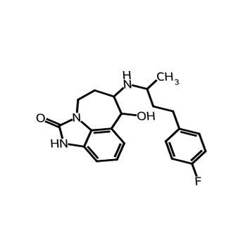 CC(CCc1ccc(F)cc1)NC1CCn2c(=O)[nH]c3cccc(c32)C1O